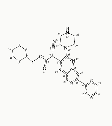 N#CC(C(=O)OCC1CCCCC1)c1nc2ccc(-c3ccccc3)cc2nc1N1CCNCC1